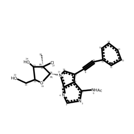 CC(=O)Nc1ncnc2c1c(C#Cc1ccccc1)cn2[C@@H]1OC(CO)C(O)[C@@]1(C)Cl